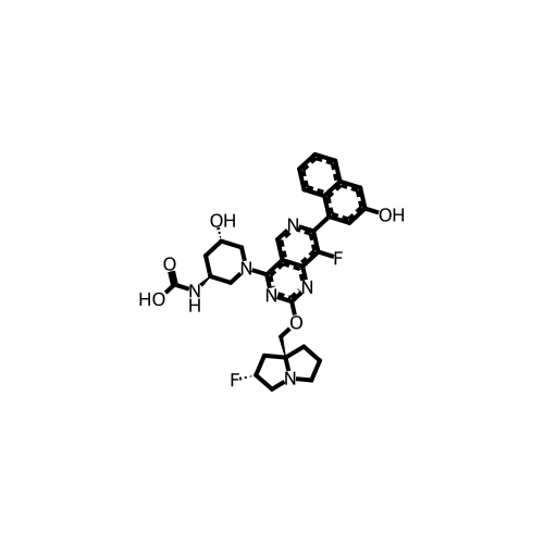 O=C(O)N[C@H]1C[C@H](O)CN(c2nc(OC[C@@]34CCCN3C[C@H](F)C4)nc3c(F)c(-c4cc(O)cc5ccccc45)ncc23)C1